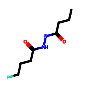 CCCC(=O)[N]NC(=O)CCCF